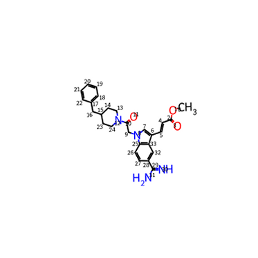 COC(=O)C=Cc1cn(CC(=O)N2CCC(Cc3ccccc3)CC2)c2ccc(C(=N)N)cc12